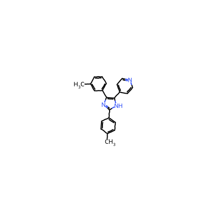 Cc1ccc(-c2nc(-c3cccc(C)c3)c(-c3ccncc3)[nH]2)cc1